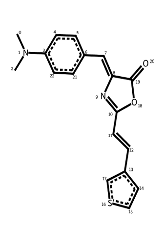 CN(C)c1ccc(/C=C2N=C(/C=C/c3ccsc3)OC\2=O)cc1